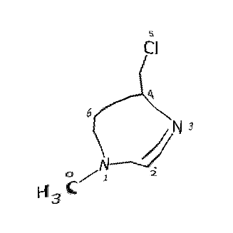 CN1[C]=NC(Cl)C1